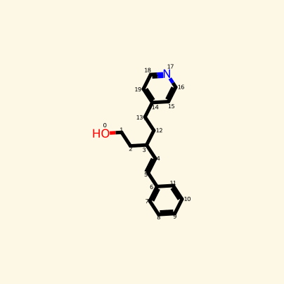 OCCC(C=Cc1ccccc1)C[CH]c1ccncc1